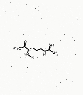 COC(=O)[C@H](CCCNC(=N)N)NC(C)C